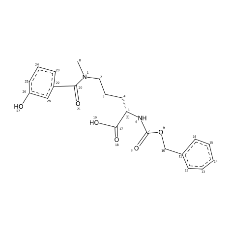 CN(CCC[C@H](NC(=O)OCc1ccccc1)C(=O)O)C(=O)c1cccc(O)c1